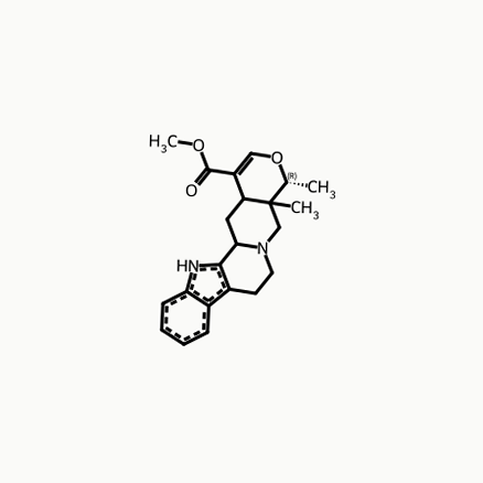 COC(=O)C1=CO[C@H](C)C2(C)CN3CCc4c([nH]c5ccccc45)C3CC12